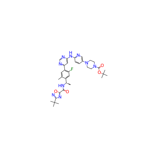 Cc1cc(-c2cc(Nc3ccc(N4CCN(C(=O)OC(C)(C)C)CC4)cn3)ncn2)c(F)cc1[C@@H](C)NC(=O)c1nc(C(C)(C)C)no1